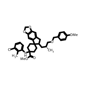 COC(=O)C1(Nc2cccc(Cl)c2C)CCC2(CC1)c1cc3c(cc1CC2C[C@@H](C)COCc1ccc(OC)cc1)OCO3